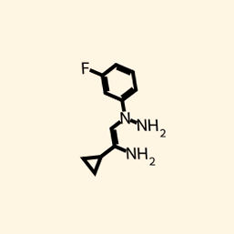 N/C(=C\N(N)c1cccc(F)c1)C1CC1